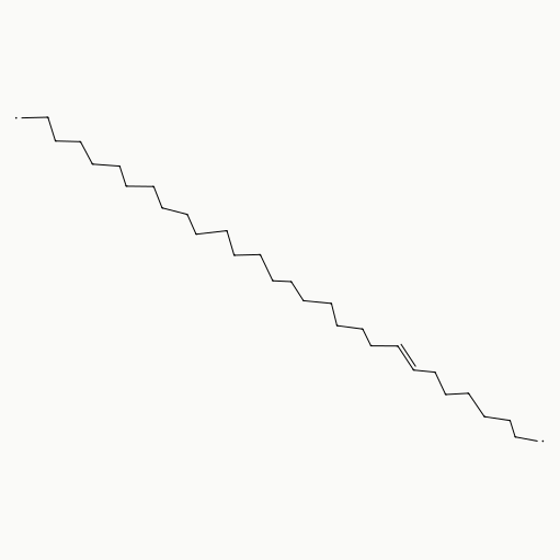 [CH2]CCCCCCC=CCCCCCCCCCCCCCCCCCCCC[CH2]